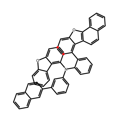 c1cc(-c2ccc3ccccc3c2)cc(N(c2ccccc2-c2cccc3oc4c5ccccc5ccc4c23)c2cccc3oc4ccccc4c23)c1